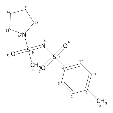 Cc1ccc(S(=O)(=O)N=S(C)(=O)N2CCCC2)cc1